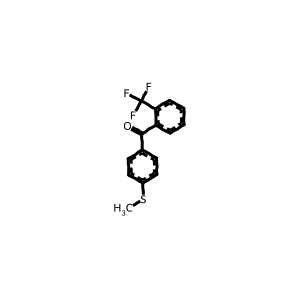 CSc1ccc(C(=O)c2ccccc2C(F)(F)F)cc1